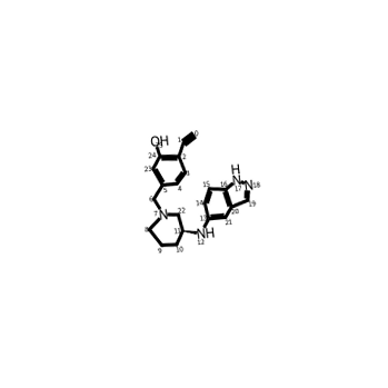 C#Cc1ccc(CN2CCC[C@H](Nc3ccc4[nH]ncc4c3)C2)cc1O